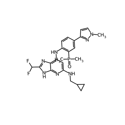 Cn1ccc(-c2ccc(Nc3cc(NCC4CC4)nc4[nH]c(C(F)F)nc34)c(P(C)(C)=O)c2)n1